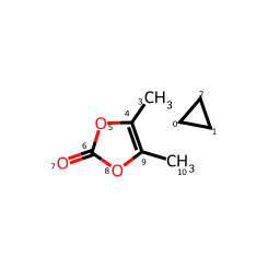 C1CC1.Cc1oc(=O)oc1C